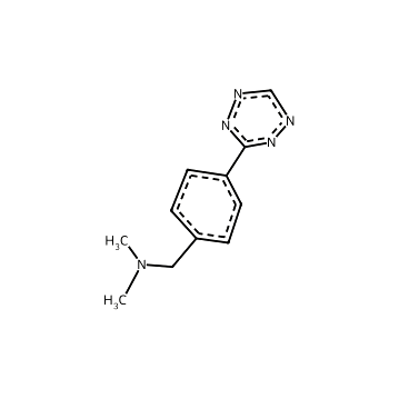 CN(C)Cc1ccc(-c2nncnn2)cc1